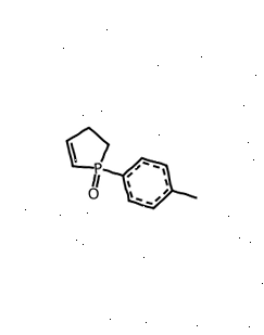 Cc1ccc(P2(=O)C=CCC2)cc1